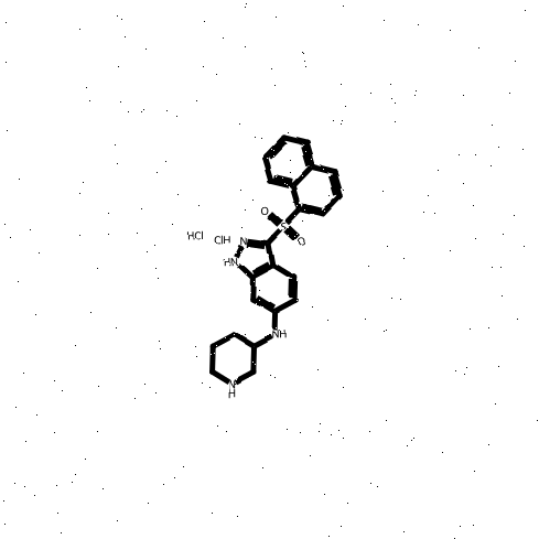 Cl.Cl.O=S(=O)(c1cccc2ccccc12)c1n[nH]c2cc(NC3CCCNC3)ccc12